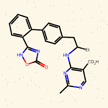 CCC(Cc1ccc(-c2ccccc2-c2nc(=O)o[nH]2)cc1)Nc1nc(C)ncc1C(=O)O